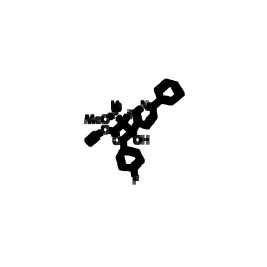 C#COC(=O)C(C(C)C)([PH](=O)OC)C(O)(Cc1ccc(F)cc1)c1ccc(-c2ccccc2)nc1